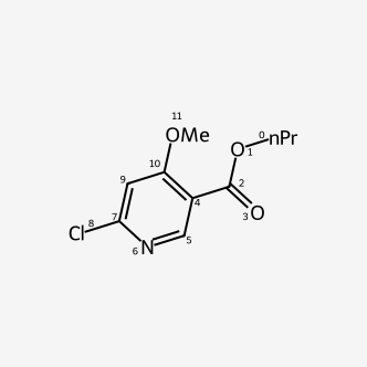 CCCOC(=O)c1cnc(Cl)cc1OC